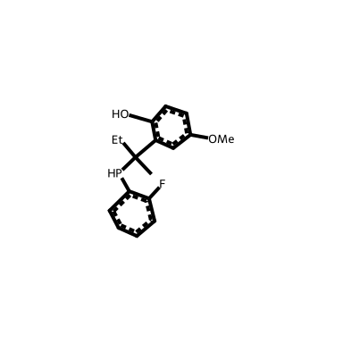 CCC(C)(Pc1ccccc1F)c1cc(OC)ccc1O